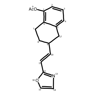 CC(=O)Oc1cccc2c1CCC(C=Cc1ncco1)C2